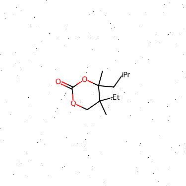 CCC1(C)COC(=O)OC1(C)CC(C)C